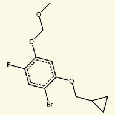 COCOc1cc(OCC2CC2)c(Br)cc1F